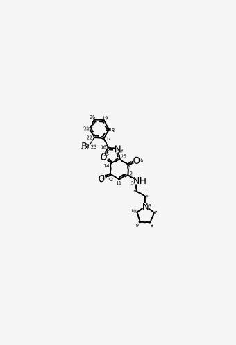 O=C1C(NCCN2CCCC2)=CC(=O)c2oc(-c3ccccc3Br)nc21